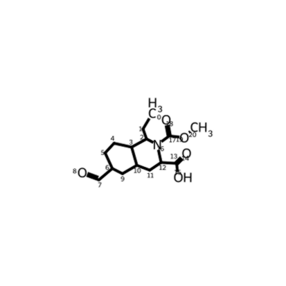 CCC1C2CCC(C=O)CC2CC(C(=O)O)N1C(=O)OC